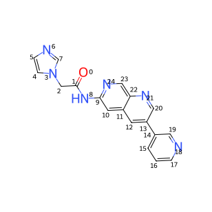 O=C(Cn1ccnc1)Nc1cc2cc(-c3cccnc3)cnc2cn1